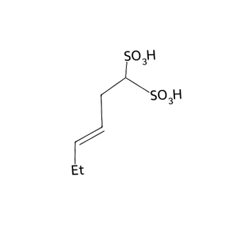 CCC=CCC(S(=O)(=O)O)S(=O)(=O)O